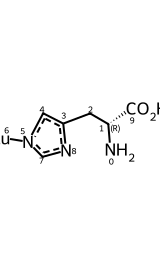 N[C@H](Cc1c[n]([Eu])cn1)C(=O)O